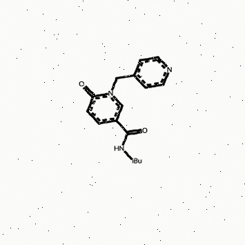 CCC(C)NC(=O)c1ccc(=O)n(Cc2ccncc2)c1